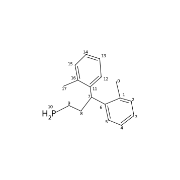 Cc1ccccc1C(CCP)c1ccccc1C